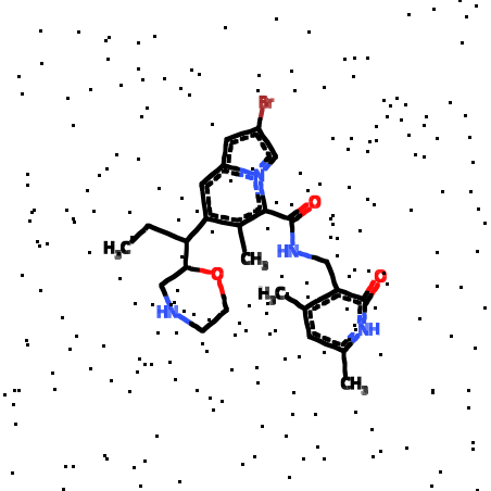 CCC(c1cc2cc(Br)cn2c(C(=O)NCc2c(C)cc(C)[nH]c2=O)c1C)C1CNCCO1